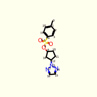 Cc1ccc(S(=O)(=O)OC2CCC(n3nccn3)C2)cc1